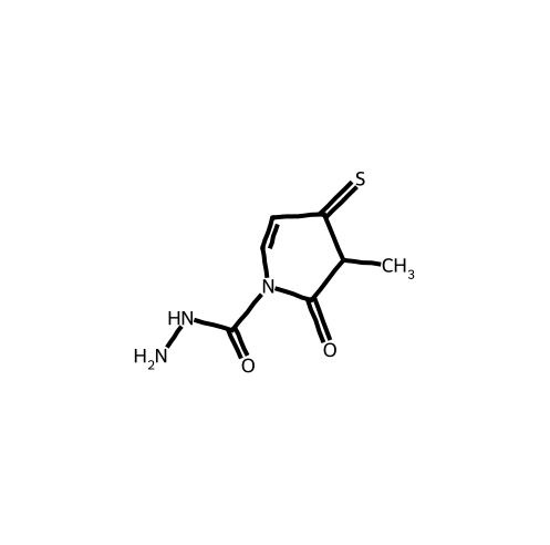 CC1C(=O)N(C(=O)NN)C=CC1=S